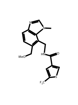 COCc1ccc2ncn(C)c2c1CNC(=O)c1csc(C(F)(F)F)c1